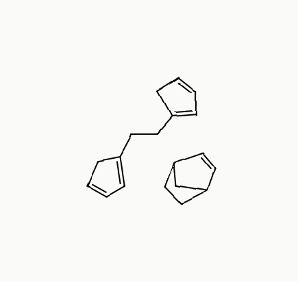 C1=CC2CCC1C2.C1=CCC(CCC2=CC=CC2)=C1